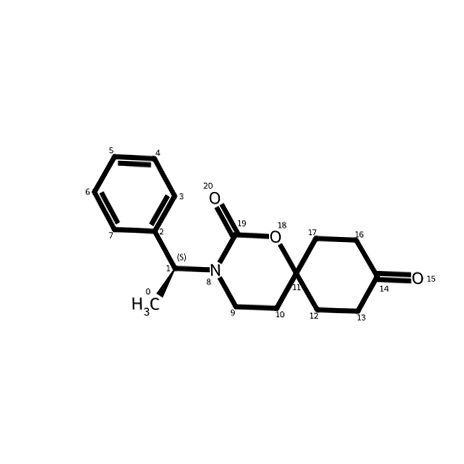 C[C@@H](c1ccccc1)N1CCC2(CCC(=O)CC2)OC1=O